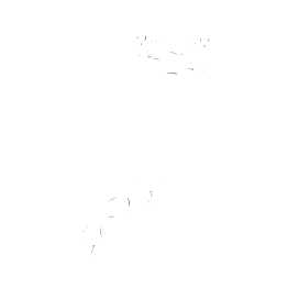 COC1=C(OC)C(=O)C(CCCCCCCCCC(=O)Oc2ccc(-c3cc(=O)ss3)cc2)=C(C)C1=O